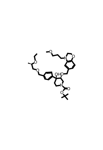 CCO[C@H](C)COCc1ccc([C@@]2(O)CCN(C(=O)OC(C)(C)C)C[C@@H]2OCc2ccc3c(c2)N(CCCOC)CCO3)cc1